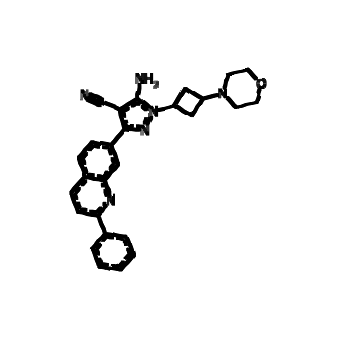 N#Cc1c(-c2ccc3ccc(-c4ccccc4)nc3c2)nn(C2CC(N3CCOCC3)C2)c1N